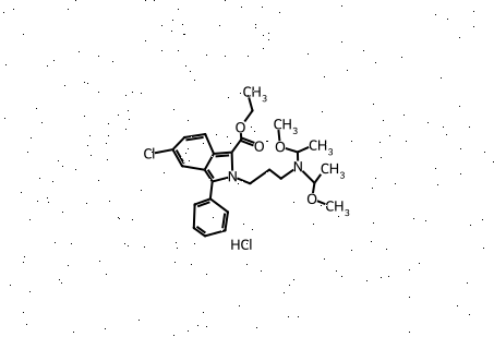 CCOC(=O)c1c2ccc(Cl)cc2c(-c2ccccc2)n1CCCN(C(C)OC)C(C)OC.Cl